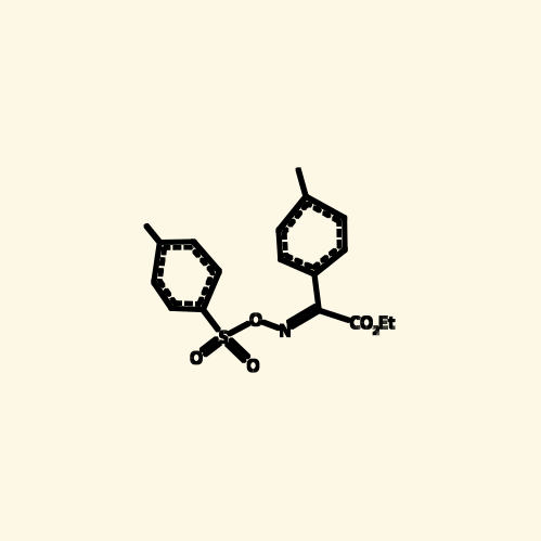 CCOC(=O)C(=NOS(=O)(=O)c1ccc(C)cc1)c1ccc(C)cc1